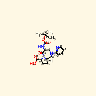 CC(C)(C)OC(=O)N[C@H]1CN(c2ccccn2)C[C@H]2CC[C@@H](C(=O)O)N2C1=O